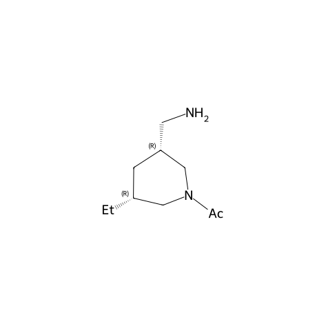 CC[C@@H]1C[C@H](CN)CN(C(C)=O)C1